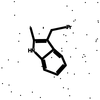 Cc1[nH]c2ccccc2c1CC(C)C